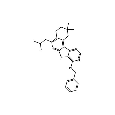 CC(C)Cc1nc2sc3c(NCc4cccnc4)ncnc3c2c2c1CCC(C)(C)C2